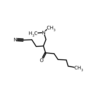 CCCCCC(=O)C(CCC#N)CN(C)C